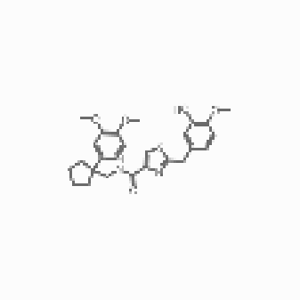 COc1ccc(Cc2nc(C(=O)NCC3(c4ccc(OC)c(OC)c4)CCCC3)cs2)cc1O